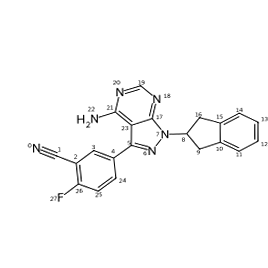 N#Cc1cc(-c2nn(C3Cc4ccccc4C3)c3ncnc(N)c23)ccc1F